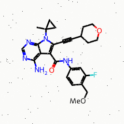 COCc1ccc(NC(=O)c2c(C#CC3CCOCC3)n(C3(C)CC3)c3ncnc(N)c23)cc1F